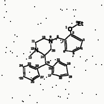 CCOc1ccccc1CN1CCN(C)C(C(c2ccccc2)c2ccccc2)C1